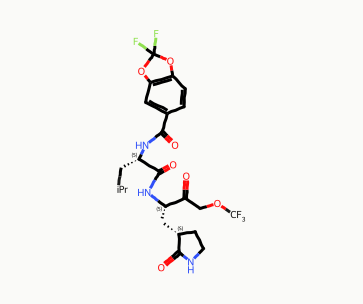 CC(C)C[C@H](NC(=O)c1ccc2c(c1)OC(F)(F)O2)C(=O)N[C@@H](C[C@@H]1CCNC1=O)C(=O)COC(F)(F)F